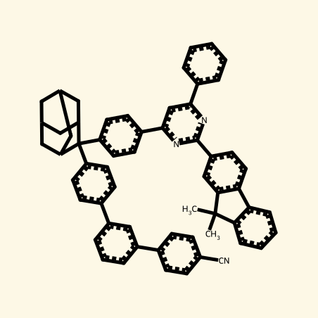 CC1(C)c2ccccc2-c2ccc(-c3nc(-c4ccccc4)cc(-c4ccc(C5(c6ccc(-c7cccc(-c8ccc(C#N)cc8)c7)cc6)C6CC7CC(C6)CC5C7)cc4)n3)cc21